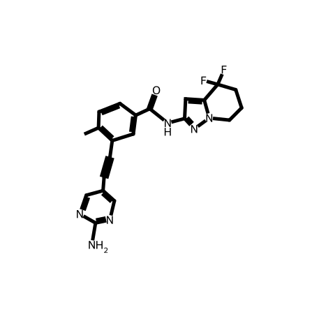 Cc1ccc(C(=O)Nc2cc3n(n2)CCCC3(F)F)cc1C#Cc1cnc(N)nc1